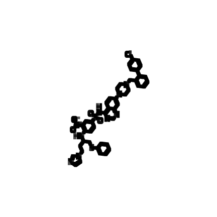 O=[N+]([O-])c1cc(S(=O)(=O)Nc2ncnc3cc(N4CCN(Cc5ccccc5-c5ccc(Cl)cc5)CC4)ccc23)ccc1NC(CCn1ccnc1)CSc1ccccc1